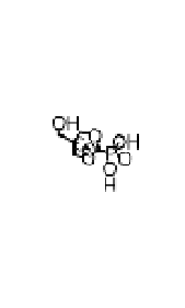 O=P(O)(O)C12OCC(CO)(CO1)CO2